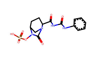 O=C(NC(=O)C1CCC2CN1C(=O)N2OS(=O)(=O)O)Nc1ccccc1